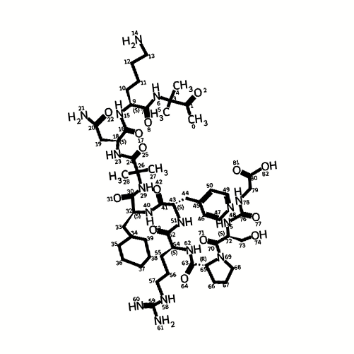 CC(=O)C(C)(C)NC(=O)[C@H](CCCCN)NC(=O)[C@H](CC(N)=O)NC(=O)C(C)(C)NC(=O)[C@H](CC1CCCCC1)NC(=O)[C@H](Cc1ccncc1)NC(=O)[C@H](CCCNC(=N)N)NC(=O)[C@H]1CCCN1C(=O)[C@H](CO)NC(=O)NCC(=O)O